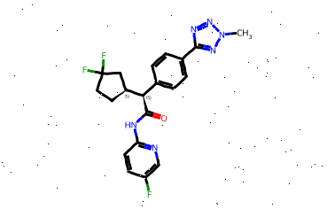 Cn1nnc(-c2ccc([C@@H](C(=O)Nc3ccc(F)cn3)[C@H]3CCC(F)(F)C3)cc2)n1